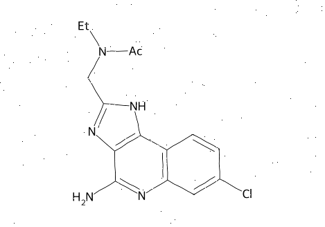 CCN(Cc1nc2c(N)nc3cc(Cl)ccc3c2[nH]1)C(C)=O